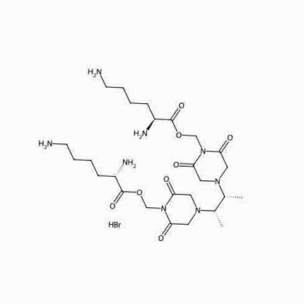 Br.C[C@H]([C@H](C)N1CC(=O)N(COC(=O)[C@@H](N)CCCCN)C(=O)C1)N1CC(=O)N(COC(=O)[C@@H](N)CCCCN)C(=O)C1